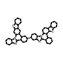 c1ccc2c(c1)nc1c3ccc(-c4ccc5c(c4)nc4c6ccccc6c6c7sc8ccccc8c7ccc6n54)cc3c3cc4c(cc3n21)sc1ccccc14